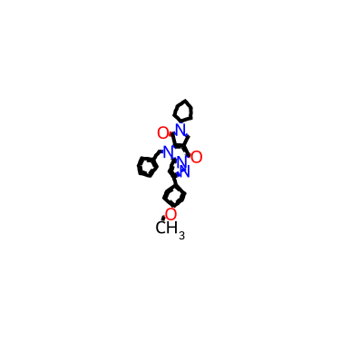 CCOc1ccc(-c2cc3n(Cc4ccccc4)c4c(c(=O)n3n2)CN(C2CCCCC2)C4=O)cc1